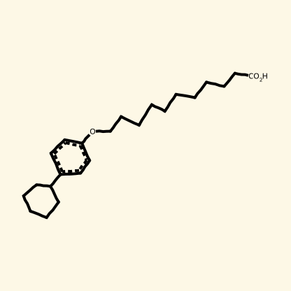 O=C(O)CCCCCCCCCCOc1ccc(C2CCCCC2)cc1